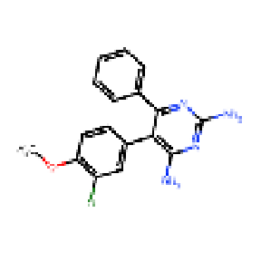 COc1ccc(-c2c(N)nc(N)nc2-c2ccccc2)cc1Cl